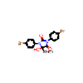 CCCCCCC1(O)C(=O)N(c2ccc(Br)cc2)C(=O)N1c1ccc(Br)cc1